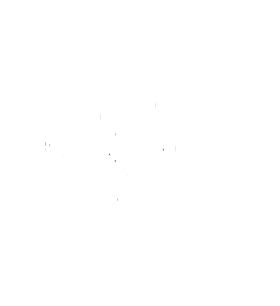 CC(C)(C)OC(=O)NC(Cc1ccccc1)C(=O)NCC(=O)O